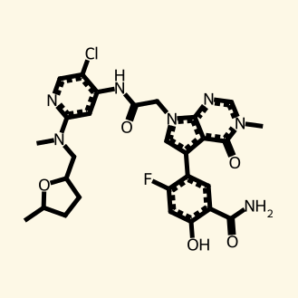 CC1CCC(CN(C)c2cc(NC(=O)Cn3cc(-c4cc(C(N)=O)c(O)cc4F)c4c(=O)n(C)cnc43)c(Cl)cn2)O1